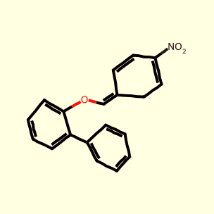 O=[N+]([O-])C1=CCC(=COc2ccccc2-c2ccccc2)C=C1